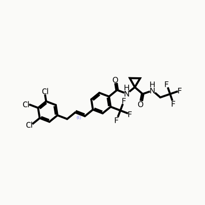 O=C(NC1(C(=O)NCC(F)(F)F)CC1)c1ccc(/C=C/Cc2cc(Cl)c(Cl)c(Cl)c2)cc1C(F)(F)F